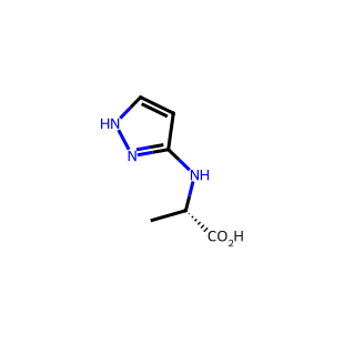 C[C@H](Nc1cc[nH]n1)C(=O)O